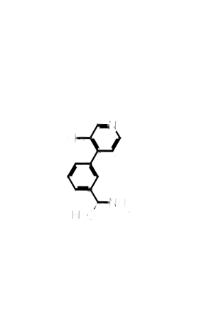 C[C@H](N)c1cccc(-c2ccncc2Cl)c1